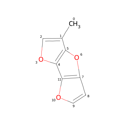 Cc1coc2c1oc1ccoc12